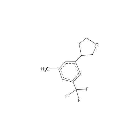 Cc1cc(C2CCOC2)cc(C(F)(F)F)c1